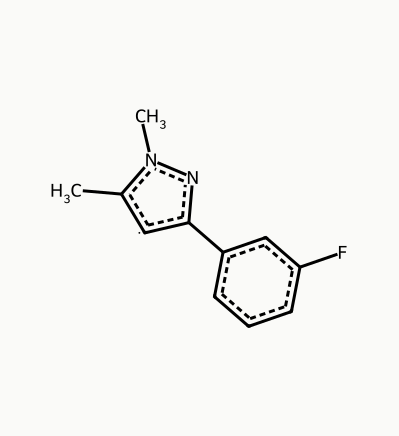 Cc1[c]c(-c2cccc(F)c2)nn1C